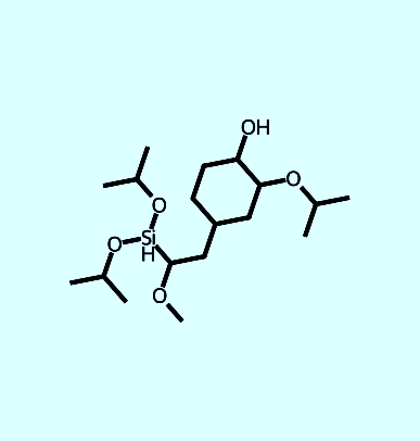 COC(CC1CCC(O)C(OC(C)C)C1)[SiH](OC(C)C)OC(C)C